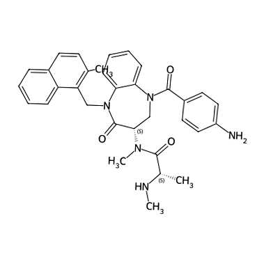 CN[C@@H](C)C(=O)N(C)[C@H]1CN(C(=O)c2ccc(N)cc2)c2ccccc2N(Cc2c(C)ccc3ccccc23)C1=O